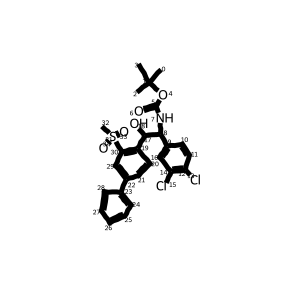 CC(C)(C)OC(=O)NC(c1ccc(Cl)c(Cl)c1)C(O)c1ccc(-c2ccccc2)cc1S(C)(=O)=O